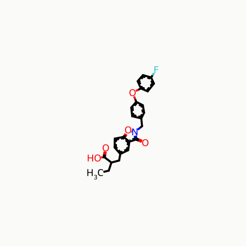 CCC(Cc1ccc2on(Cc3ccc(Oc4ccc(F)cc4)cc3)c(=O)c2c1)C(=O)O